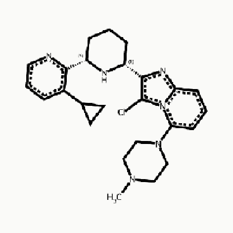 CN1CCN(c2cccc3nc([C@H]4CCC[C@@H](c5ncccc5C5CC5)N4)c(Cl)n23)CC1